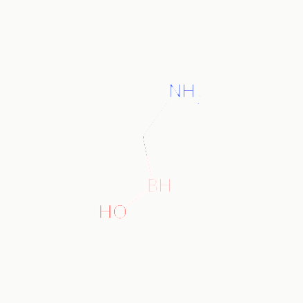 NCBO